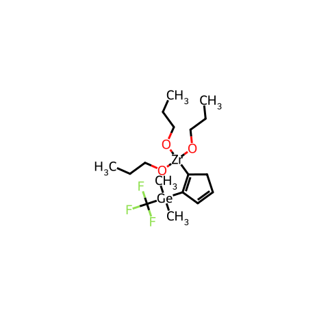 CCC[O][Zr]([O]CCC)([O]CCC)[C]1=[C]([Ge]([CH3])([CH3])[C](F)(F)F)C=CC1